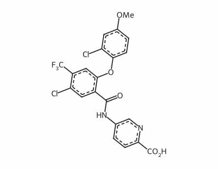 COc1ccc(Oc2cc(C(F)(F)F)c(Cl)cc2C(=O)Nc2ccc(C(=O)O)nc2)c(Cl)c1